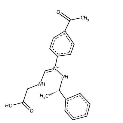 CC(=O)c1ccc([N+](=CNCC(=O)O)N[C@@H](C)c2ccccc2)cc1